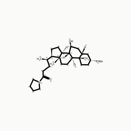 CO[C@@H]1CC[C@@]2(C)[C@@H](C1)C[C@H](O)[C@@H]1[C@@H]2CC[C@]2(C)[C@@H]([C@H](C)CCC(=O)N3CCCC3)CC[C@@H]12